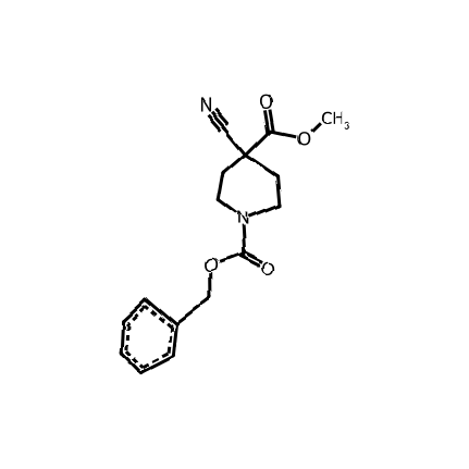 COC(=O)C1(C#N)CCN(C(=O)OCc2ccccc2)CC1